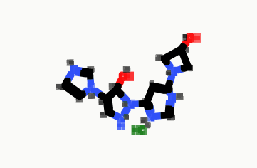 Cl.OC1CN(c2cc(N3NC=C(n4ccnc4)C3O)ncn2)C1